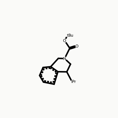 CC(C)C1CN(C(=O)OC(C)(C)C)Cc2ccccc21